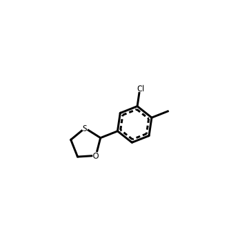 Cc1ccc(C2OCCS2)cc1Cl